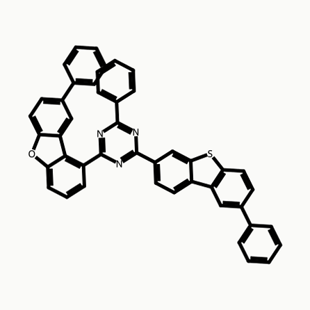 c1ccc(-c2ccc3sc4cc(-c5nc(-c6ccccc6)nc(-c6cccc7oc8ccc(-c9ccccc9)cc8c67)n5)ccc4c3c2)cc1